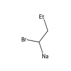 CCC[CH]([Na])Br